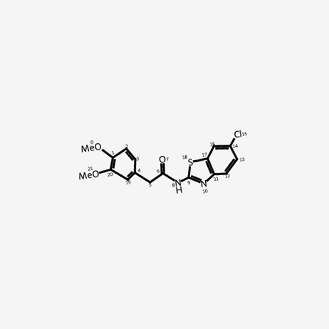 COc1ccc(CC(=O)Nc2nc3ccc(Cl)cc3s2)cc1OC